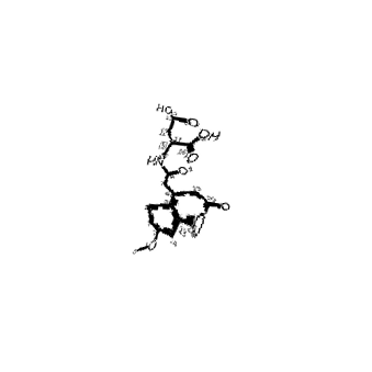 COc1ccc2c(CC(=O)N[C@@H](CC(=O)O)C(=O)O)cc(=O)oc2c1